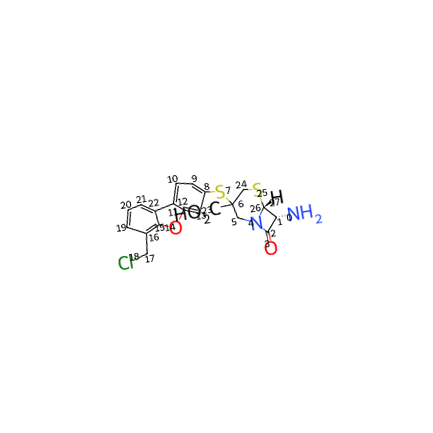 N[C@@H]1C(=O)N2CC(Sc3ccc4c(c3)oc3c(CCl)cccc34)(C(=O)O)CS[C@H]12